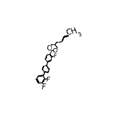 C/C=C/CCC1COC(c2ccc(-c3ccc(-c4cccc(F)c4F)cc3)cc2F)OC1